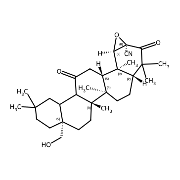 CC1(C)CC[C@]2(CO)CC[C@]3(C)C(C(=O)C[C@@H]4[C@@]5(C)[C@H]6O[C@@]6(C#N)C(=O)C(C)(C)[C@@H]5CC[C@]43C)C2C1